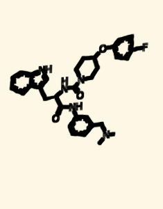 CN(C)Cc1cccc(NC(=O)[C@@H](Cc2c[nH]c3ccccc23)NC(=O)N2CCC(Oc3ccc(F)cc3)CC2)c1